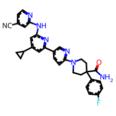 N#Cc1ccnc(Nc2cc(C3CC3)cc(-c3ccc(N4CCC(C(N)=O)(c5ccc(F)cc5)CC4)nc3)n2)c1